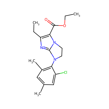 CCOC(=O)c1c(CC)nc2n1CCN2c1c(C)cc(C)cc1Cl